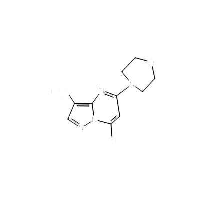 CCOC(=O)c1cnn2c(CC)cc(N3CCOCC3)nc12